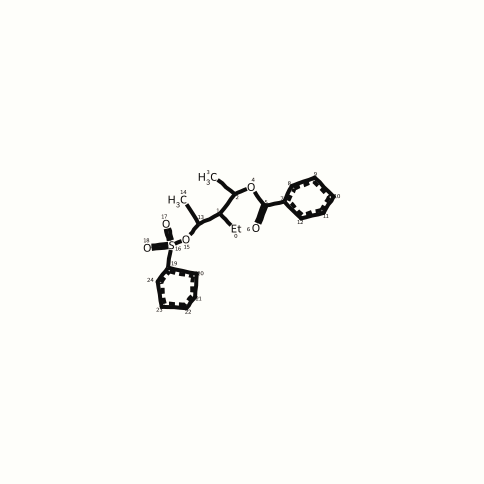 CCC(C(C)OC(=O)c1ccccc1)C(C)OS(=O)(=O)c1ccccc1